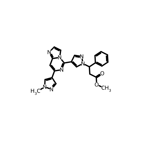 COC(=O)CC(c1ccccc1)n1cc(-c2nc(-c3cnn(C)c3)cc3nccn23)cn1